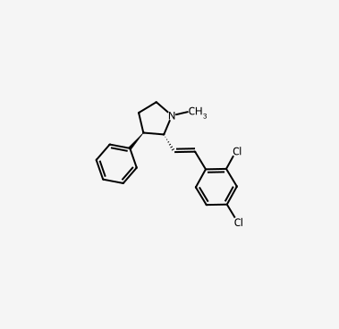 CN1CC[C@H](c2ccccc2)[C@H]1/C=C/c1ccc(Cl)cc1Cl